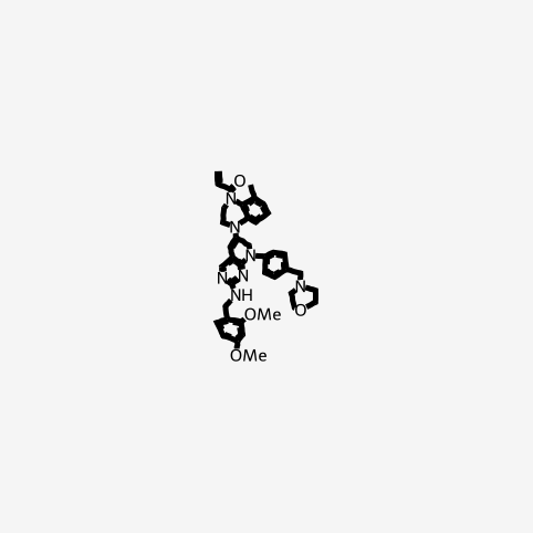 C=CC(=O)N1CCN(C2=Cc3cnc(NCc4ccc(OC)cc4OC)nc3N(c3ccc(CN4CCOCC4)cc3)C2)c2cccc(C)c21